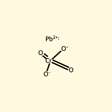 [O]=[Cr](=[O])([O-])[O-].[Pb+2]